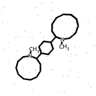 CN1CCCCCCCCCC1C1CCC(C2CCCCCCCCCN2C)CC1